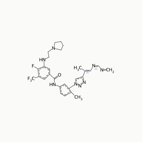 C=N/C=N\C=C(/C)c1cn(-c2cc(NC(=O)c3cc(NCCN4CCCC4)c(F)c(C(F)(F)F)c3)ccc2C)nn1